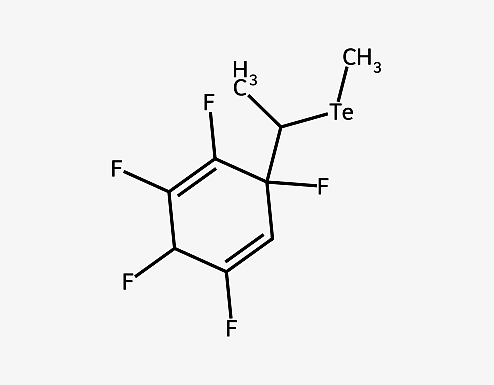 C[Te]C(C)C1(F)C=C(F)C(F)C(F)=C1F